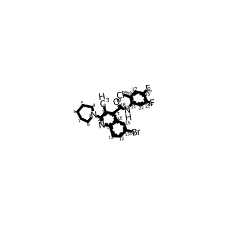 Cc1c(N2CCCCC2)nc2ccc(Br)cc2c1C(=O)Nc1[c]c(F)c(F)cc1Cl